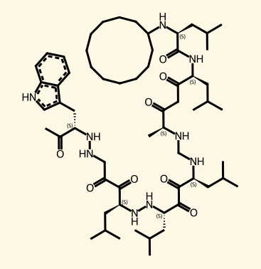 CC(=O)[C@H](Cc1c[nH]c2ccccc12)NNCC(=O)C(=O)[C@H](CC(C)C)NN[C@@H](CC(C)C)C(=O)C(=O)[C@H](CC(C)C)NCN[C@@H](C)C(=O)CC(=O)[C@H](CC(C)C)NC(=O)[C@H](CC(C)C)NC1CCCCCCCCCCC1